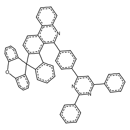 c1ccc(-c2cc(-c3ccc(-c4nc5ccccc5c5ccc6c(c45)-c4ccccc4C64c5ccccc5Oc5ccccc54)cc3)nc(-c3ccccc3)n2)cc1